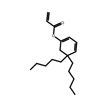 C=CC(=O)OC1=CC=CC(CCCCC)(CCCCC)C1